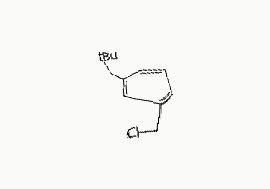 CC(C)(C)Cc1cccc(CCl)c1